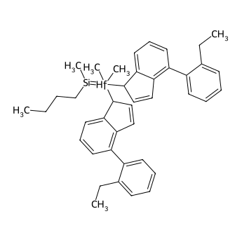 CCCC[Si](C)=[Hf]([CH3])([CH3])([CH]1C=Cc2c(-c3ccccc3CC)cccc21)[CH]1C=Cc2c(-c3ccccc3CC)cccc21